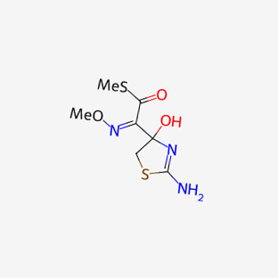 CON=C(C(=O)SC)C1(O)CSC(N)=N1